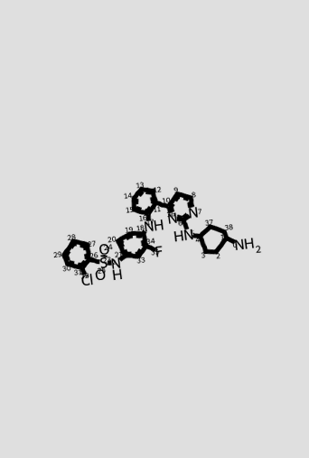 NC1CCC(Nc2nccc(-c3ccccc3Nc3ccc(NS(=O)(=O)c4ccccc4Cl)cc3F)n2)CC1